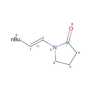 CCCC/C=C/N1CCCC1=O